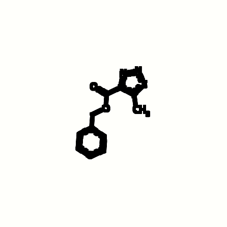 Cc1snnc1C(=O)OCc1ccccc1